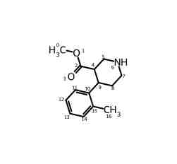 COC(=O)C1CNCCC1c1ccccc1C